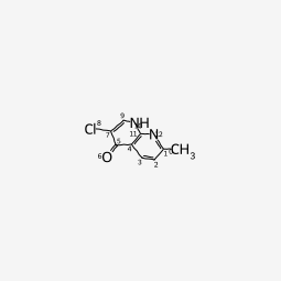 Cc1ccc2c(=O)c(Cl)c[nH]c2n1